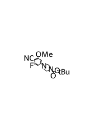 COc1cc(N2CCN(C(=O)OC(C)(C)C)CC2)cc(F)c1C#N